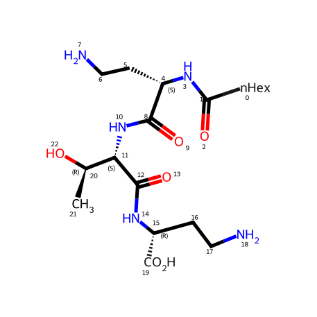 CCCCCCC(=O)N[C@@H](CCN)C(=O)N[C@H](C(=O)N[C@H](CCN)C(=O)O)[C@@H](C)O